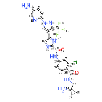 Cn1c(-c2cn(-c3ccc(N)cn3)nc2C(F)(F)F)cnc1C(=O)Nc1ccc(C(=O)NCC2(N)CC2)c(Cl)c1